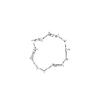 [CH]1C\C=C/C=C/C=C/CC/C=C/C1